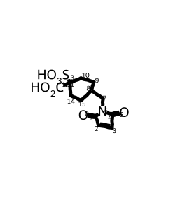 O=C1C=CC(=O)N1CC1CCC(C(=O)O)(S(=O)(=O)O)CC1